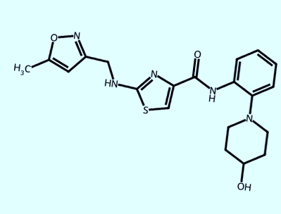 Cc1cc(CNc2nc(C(=O)Nc3ccccc3N3CCC(O)CC3)cs2)no1